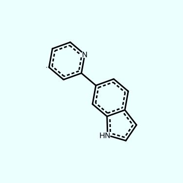 [c]1ccnc(-c2ccc3cc[nH]c3c2)c1